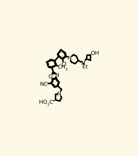 CCN(C1CCN(c2cccc(-c3cccc(-c4nc5cc(CN6CC[C@@H](C(=O)O)C6)cc(C#N)c5o4)c3C)c2Cl)CC1)C1CC(O)C1